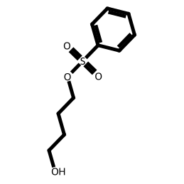 O=S(=O)(OCCCCO)c1ccccc1